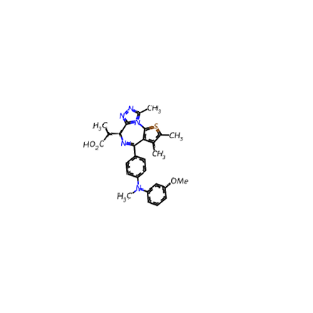 COc1cccc(N(C)c2ccc(C3=N[C@@H](C(C)C(=O)O)c4nnc(C)n4-c4sc(C)c(C)c43)cc2)c1